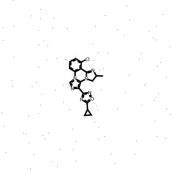 CC1CN2C(=N1)c1c(Cl)cccc1-n1cnc(-c3noc(C4CC4)n3)c12